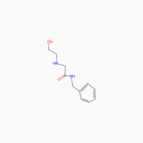 O=C(CNCCO)NCc1ccccc1